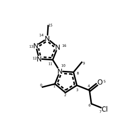 Cc1cc(C(=O)CCl)c(C)n1-c1nnn(C)n1